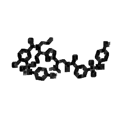 C=CCN(C(=O)c1ccc(Cl)c(S(=O)(=O)Nc2ccc(Br)cc2)c1)C(C=C)c1ccc(C(CNC(=O)c2cccc(S(=O)(=O)Nc3ccc(Br)cc3)c2)N(C)C)o1